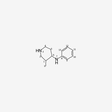 CC1CNCCC1Nc1ccccc1